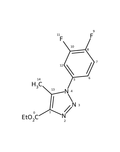 CCOC(=O)c1nnn(-c2ccc(F)c(F)c2)c1C